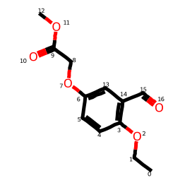 CCOc1ccc(OCC(=O)OC)cc1C=O